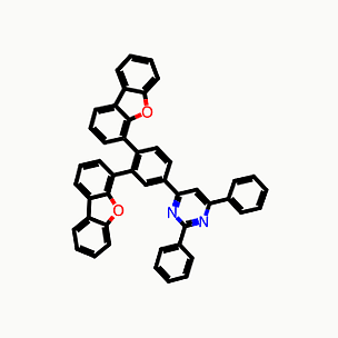 c1ccc(-c2cc(-c3ccc(-c4cccc5c4oc4ccccc45)c(-c4cccc5c4oc4ccccc45)c3)nc(-c3ccccc3)n2)cc1